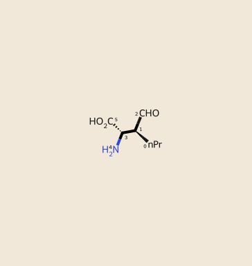 CCC[C@H](C=O)[C@H](N)C(=O)O